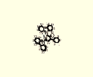 c1ccc2c(c1)oc1c(-n3c4ccccc4c4ccccc43)nc(-n3c4ccccc4c4ccccc43)cc12